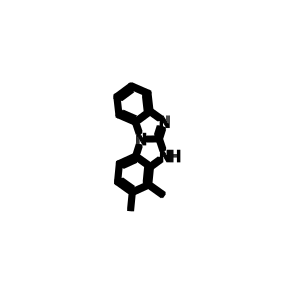 Cc1ccc2c([nH]c3nc4ccccc4n32)c1C